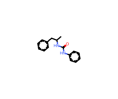 CC(Cc1ccccc1)NC(=O)Nc1ccccc1